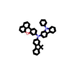 CC1(C)c2ccccc2-c2ccc(N(c3ccc4c(c3)Oc3cccc5cccc-4c35)c3ccc4c5ccccc5n(-c5ccccc5)c4c3)cc21